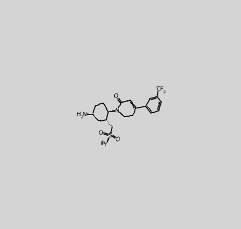 CC(C)S(=O)(=O)C[C@@H]1C[C@@H](N)CC[C@H]1N1CCC(c2cccc(C(F)(F)F)c2)=CC1=O